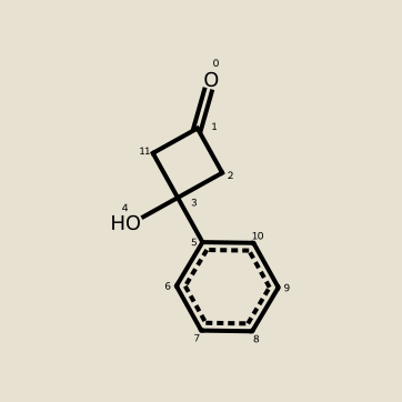 O=C1CC(O)(c2ccccc2)C1